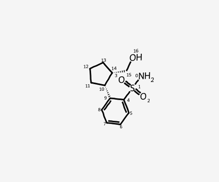 NS(=O)(=O)c1ccccc1[C@@H]1CCC[C@@H]1CO